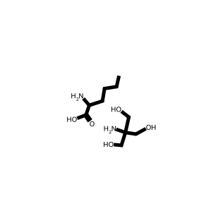 CCCCC(N)C(=O)O.NC(CO)(CO)CO